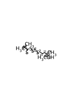 CN(C)C(=S)SSSSCCC[Si](C)(C)O